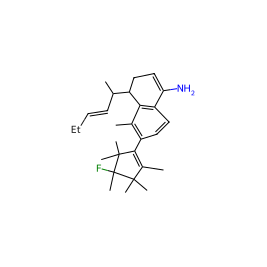 CCC=CC(C)C1CC=C(N)c2ccc(C3=C(C)C(C)(C)C(C)(F)C3(C)C)c(C)c21